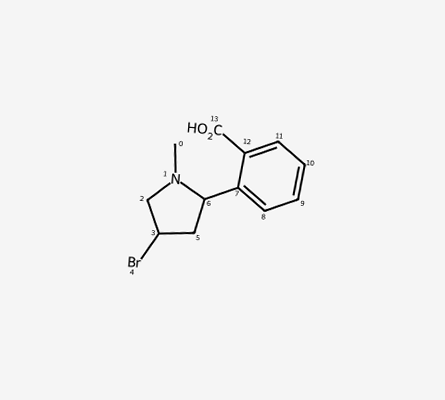 CN1CC(Br)CC1c1ccccc1C(=O)O